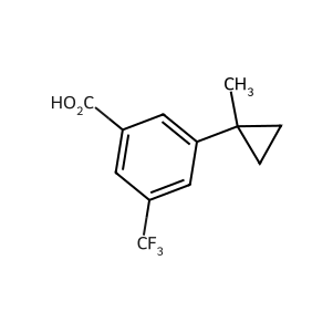 CC1(c2cc(C(=O)O)cc(C(F)(F)F)c2)CC1